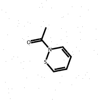 CC(=O)N1C=CC=CS1